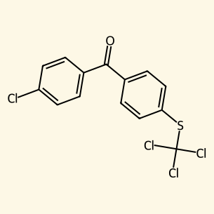 O=C(c1ccc(Cl)cc1)c1ccc(SC(Cl)(Cl)Cl)cc1